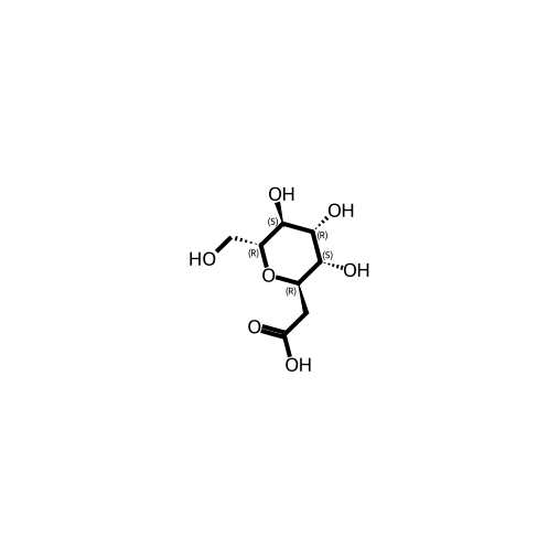 O=C(O)C[C@H]1O[C@H](CO)[C@@H](O)[C@H](O)[C@@H]1O